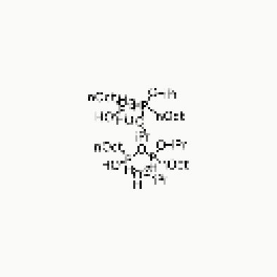 CCCCCCCC[PH](O)(O)O[PH](CCCCCCCC)(OC(C)C)OC(C)C.CCCCCCCC[PH](O)(O)O[PH](CCCCCCCC)(OC(C)C)OC(C)C